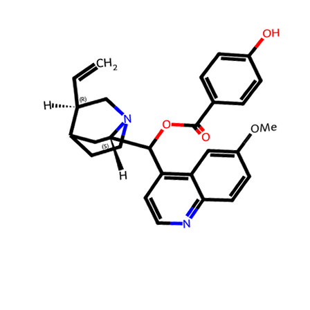 C=C[C@H]1CN2CCC1C[C@H]2C(OC(=O)c1ccc(O)cc1)c1ccnc2ccc(OC)cc12